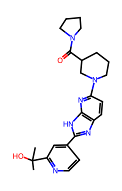 CC(C)(O)c1cc(-c2nc3ccc(N4CCCC(C(=O)N5CCCC5)C4)nc3[nH]2)ccn1